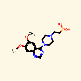 COc1cc2ncnc(N3CCN(CCP(O)O)CC3)c2cc1OC